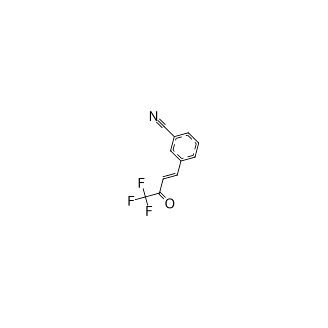 N#Cc1cccc(C=CC(=O)C(F)(F)F)c1